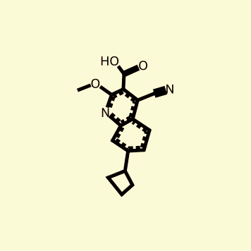 COc1nc2cc(C3CCC3)ccc2c(C#N)c1C(=O)O